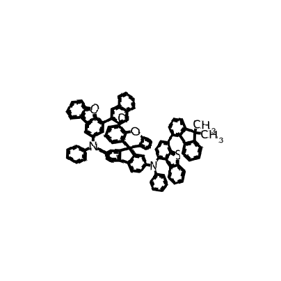 CC1(C)c2ccccc2-c2c(-c3ccc(N(c4ccccc4)c4ccc5c(c4)C4(c6ccccc6Oc6c(Cl)cccc64)c4cc(N(c6ccccc6)c6cc(-c7ccc8ccccc8c7)c7oc8ccccc8c7c6)ccc4-5)c4c3sc3ccccc34)cccc21